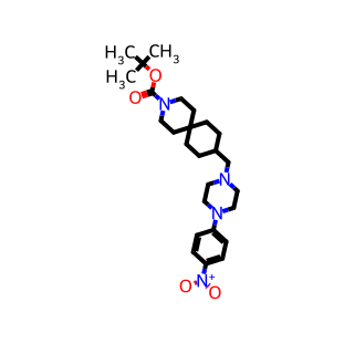 CC(C)(C)OC(=O)N1CCC2(CCC(CN3CCN(c4ccc([N+](=O)[O-])cc4)CC3)CC2)CC1